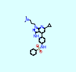 CN(C)CCCn1nc(N)c2c(-c3ccc(NS(=O)(=O)c4ccccc4)cc3)cc(C3CC3)nc21